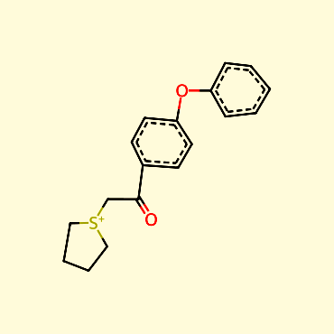 O=C(C[S+]1CCCC1)c1ccc(Oc2ccccc2)cc1